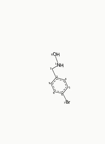 ONCc1ccc(Br)cc1